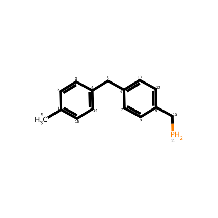 Cc1ccc(Cc2ccc(CP)cc2)cc1